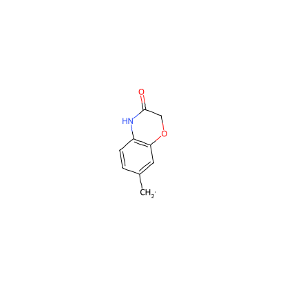 [CH2]c1ccc2c(c1)OCC(=O)N2